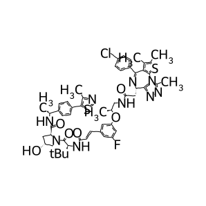 Cc1ncsc1-c1ccc([C@H](C)NC(=O)[C@@H]2C[C@@H](O)CN2C(=O)[C@@H](NC(=O)/C=C/c2cc(F)cc(O[C@@H](C)CNC(=O)C[C@@H]3N=C(c4ccc(Cl)cc4)c4c(sc(C)c4C)-n4c(C)nnc43)c2)C(C)(C)C)cc1